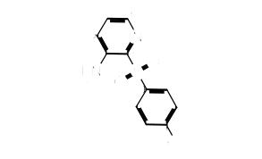 Nc1cccnc1S(=O)(=O)c1ccc(Cl)cc1